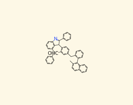 Cc1ccc2ccccc2c1-c1ccccc1Cc1ccc(C2C(c3ccccc3)=Nc3cccc(Cc4ccccc4)c32)c(C=O)c1